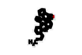 C=C/C=C\c1cccc(N2c3ccccc3C3(c4ccccc4-c4ccccc43)c3ccccc32)c1Br